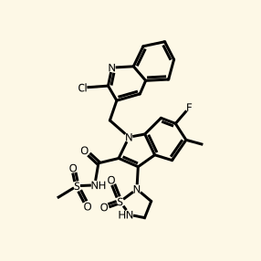 Cc1cc2c(N3CCNS3(=O)=O)c(C(=O)NS(C)(=O)=O)n(Cc3cc4ccccc4nc3Cl)c2cc1F